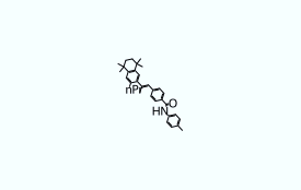 CCCc1cc2c(cc1/C(C)=C/c1ccc(C(=O)Nc3ccc(C)cc3)cc1)C(C)(C)CCC2(C)C